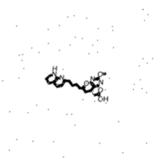 COc1ncc([C@H](CC(=O)O)CC(=O)CCCCc2ccc3c(n2)NCCC3)cn1